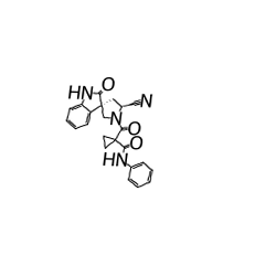 N#C[C@@H]1C[C@@]2(CN1C(=O)C1(C(=O)Nc3ccccc3)CC1)C(=O)Nc1ccccc12